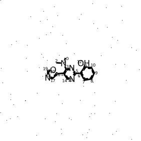 CN(C)c1nc(-c2ccccc2O)ncc1-c1cnco1